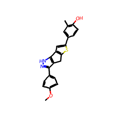 COc1ccc(-c2n[nH]c3c2Cc2sc(-c4ccc(O)c(C)c4)cc2-3)cc1